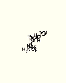 CC1CN(C)CCN1C1C[C@@H]2C(c3cc(-c4cnc(N)c(OC(F)F)c4)nn3C(C)C)[C@@H]2C1